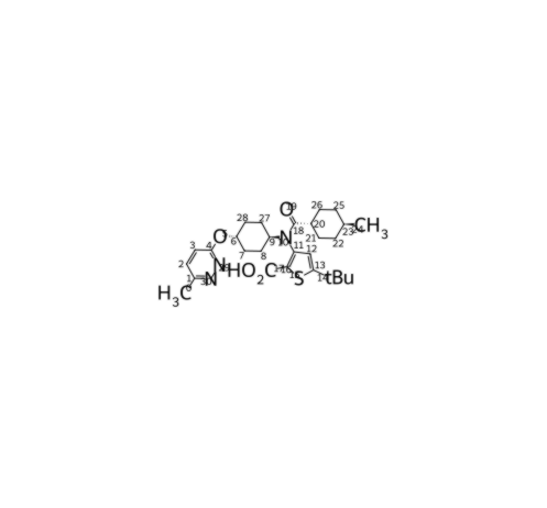 Cc1ccc(O[C@H]2CC[C@H](N(c3cc(C(C)(C)C)sc3C(=O)O)C(=O)[C@H]3CC[C@H](C)CC3)CC2)nn1